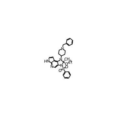 CCOC1(C)N(C2CCN(Cc3ccccc3)CC2)c2c(cnc3[nH]ccc23)N1S(=O)(=O)c1ccccc1